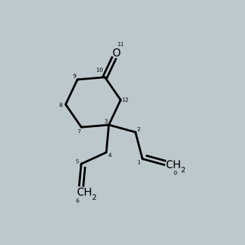 C=CCC1(CC=C)CCCC(=O)C1